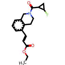 CCOC(=O)/C=C/c1cccc2c1CCN(C(=O)C1CC1F)C2